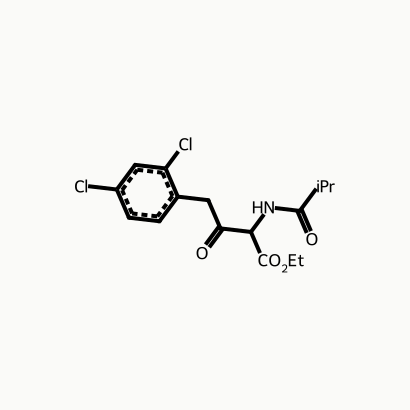 CCOC(=O)C(NC(=O)C(C)C)C(=O)Cc1ccc(Cl)cc1Cl